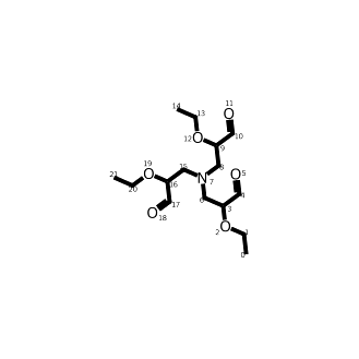 CCOC(C=O)CN(CC(C=O)OCC)CC(C=O)OCC